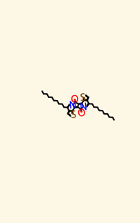 CCCCCCCCCCC1=CN2C(=O)C3=C4c5sccc5C(CCCCCCCCCC)=CN4C(=O)C3=C2c2sccc21